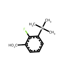 C[Si](C)(C)c1cccc(C(=O)O)c1F